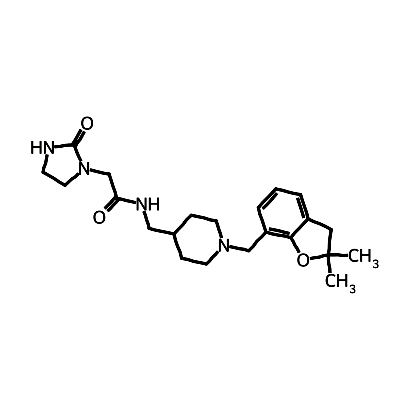 CC1(C)Cc2cccc(CN3CCC(CNC(=O)CN4CCNC4=O)CC3)c2O1